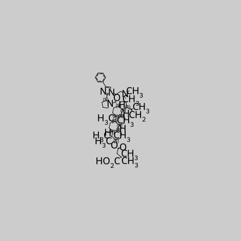 C=C(C)[C@@H]1CC[C@]2(C(=O)N3CCC[C@H]3c3nc(-c4ccccc4)cn3CCN(C)C)CC[C@]3(C)[C@H](CC[C@@H]4[C@@]5(C)CC[C@H](OC(=O)CC(C)(C)C(=O)O)C(C)(C)[C@@H]5CC[C@]43C)[C@@H]12